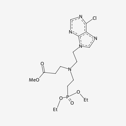 CCOP(=O)(CCN(CCC(=O)OC)CCn1cnc2c(Cl)ncnc21)OCC